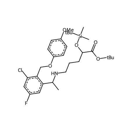 COc1ccc(OCc2c(Cl)cc(F)cc2C(C)NCCCC(O[Si](C)(C)C(C)(C)C)C(=O)OC(C)(C)C)cc1